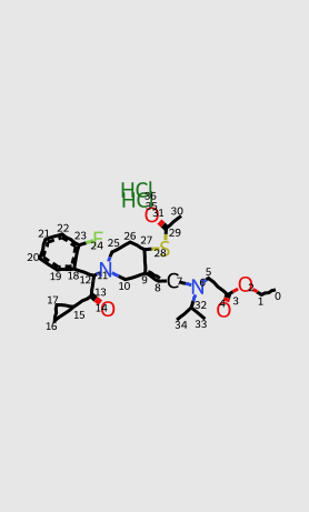 CCOC(=O)CN(C/C=C1/CN(C(C(=O)C2CC2)c2ccccc2F)CCC1SC(C)=O)C(C)C.Cl.Cl